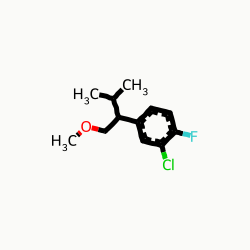 COCC(c1ccc(F)c(Cl)c1)C(C)C